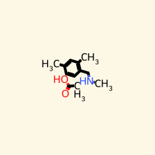 CC(=O)O.CNCc1ccc(C)cc1C